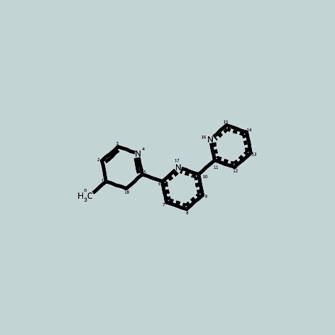 CC1C=CN=C(c2cccc(-c3ccccn3)n2)C1